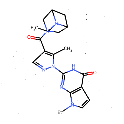 CCn1ccc2c(=O)[nH]c(-n3ncc(C(=O)N4CC5CC(C4)N5CC(F)(F)F)c3C)nc21